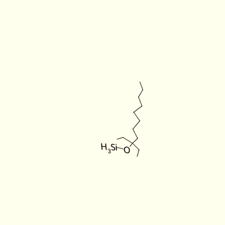 CCCCCCCCC(CC)(CC)O[SiH3]